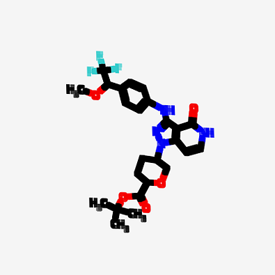 COC(c1ccc(Nc2nn(C3CCC(C(=O)OC(C)(C)C)OC3)c3cc[nH]c(=O)c23)cc1)C(F)(F)F